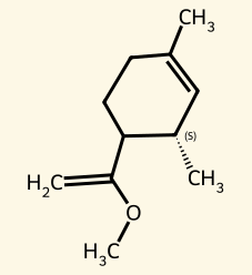 C=C(OC)C1CCC(C)=C[C@@H]1C